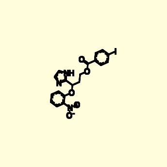 O=C(OCCC(Oc1ccccc1[N+](=O)[O-])c1ncc[nH]1)c1ccc(I)cc1